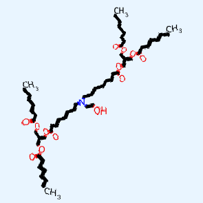 CCCCCCCC(=O)OCC(COC(=O)CCCCCCC)COC(=O)CCCCCCCN(CCO)CCCCCCCC(=O)OCC(COC(=O)CCCCCCC)COC(=O)CCCCCCC